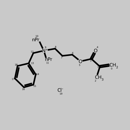 C=C(C)C(=O)OCCC[N+](CCC)(CCC)Cc1ccccc1.[Cl-]